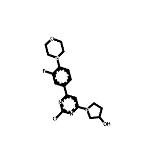 OC1CCN(c2cc(-c3ccc(N4CCOCC4)c(F)c3)nc(Cl)n2)C1